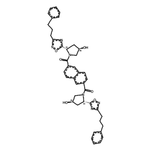 O=C(c1ccc2cc(C(=O)N3C[C@H](O)C[C@H]3c3nc(CCCc4ccccc4)no3)ccc2c1)N1C[C@H](O)C[C@H]1c1nc(CCCc2ccccc2)no1